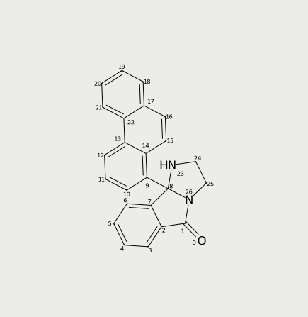 O=C1c2ccccc2C2(c3cccc4c3ccc3ccccc34)NCCN12